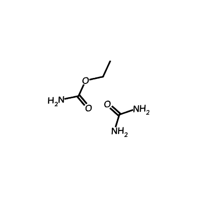 CCOC(N)=O.NC(N)=O